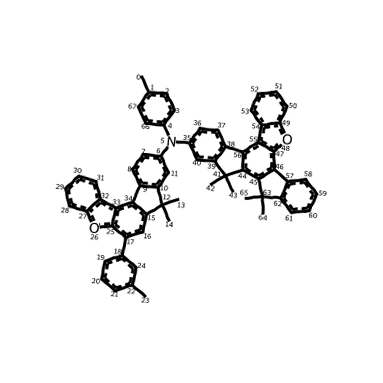 Cc1ccc(N(c2ccc3c(c2)C(C)(C)c2cc(-c4cccc(C)c4)c4oc5ccccc5c4c2-3)c2ccc3c(c2)C(C)(C)c2c4c(c5oc6ccccc6c5c2-3)-c2ccccc2C4(C)C)cc1